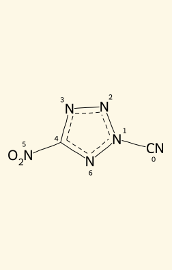 N#Cn1nnc([N+](=O)[O-])n1